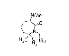 CNC1CCCC(C)(C)N(CC(C)(C)C)C1=O